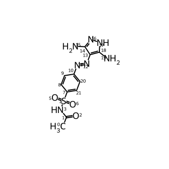 CC(=O)NS(=O)(=O)c1ccc(N=Nc2c(N)n[nH]c2N)cc1